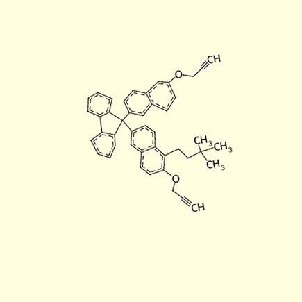 C#CCOc1ccc2cc(C3(c4ccc5c(CCC(C)(C)C)c(OCC#C)ccc5c4)c4ccccc4-c4ccccc43)ccc2c1